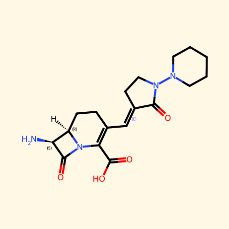 N[C@@H]1C(=O)N2C(C(=O)O)=C(/C=C3\CCN(N4CCCCC4)C3=O)CC[C@H]12